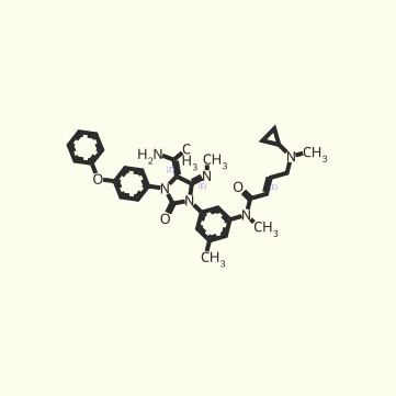 C/N=C1\C(=C(/C)N)N(c2ccc(Oc3ccccc3)cc2)C(=O)N1c1cc(C)cc(N(C)C(=O)/C=C/CN(C)C2CC2)c1